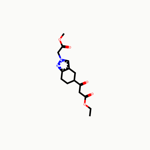 CCOC(=O)CC(=O)C1CCc2nn(CC(=O)OC)cc2C1